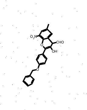 Cc1cc2c(c([N+](=O)[O-])c1)OC(c1ccc(OCc3ccccc3)cc1)=C(O)C2C=O